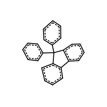 [c]1ccc2c(c1)-c1cc[c]cc1C2(c1ccccc1)c1ccccc1